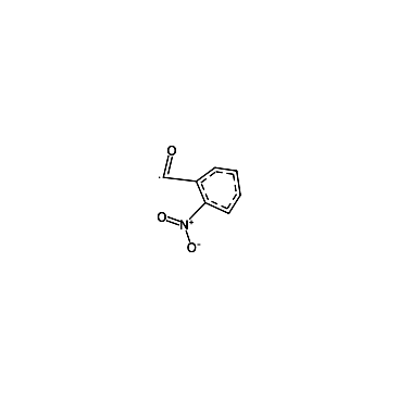 O=[C]c1ccccc1[N+](=O)[O-]